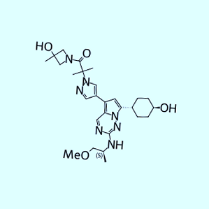 COC[C@H](C)Nc1ncc2c(-c3cnn(C(C)(C)C(=O)N4CC(C)(O)C4)c3)cc([C@H]3CC[C@H](O)CC3)n2n1